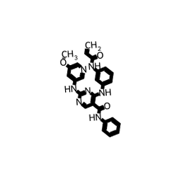 C=CC(=O)Nc1cccc(Nc2nc(Nc3cncc(OC)c3)ncc2C(=O)Nc2ccccc2)c1